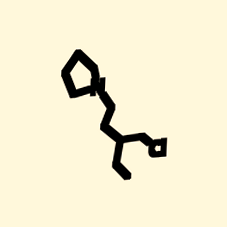 CCC(CCl)CCN1CCCC1